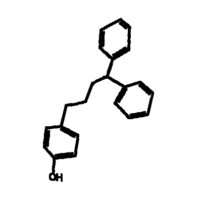 Oc1ccc(CCC[C](c2ccccc2)c2ccccc2)cc1